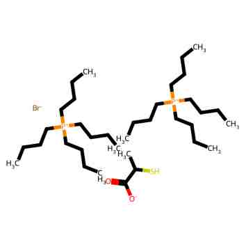 CC(S)C(=O)[O-].CCCC[P+](CCCC)(CCCC)CCCC.CCCC[P+](CCCC)(CCCC)CCCC.[Br-]